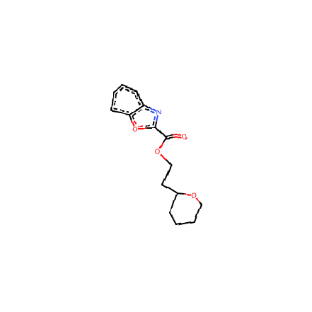 O=C(OCCC1CCCCO1)c1nc2ccccc2o1